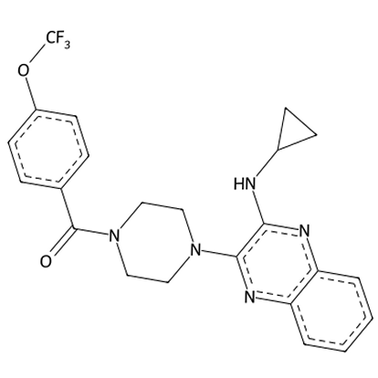 O=C(c1ccc(OC(F)(F)F)cc1)N1CCN(c2nc3ccccc3nc2NC2CC2)CC1